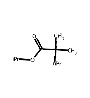 [CH2]CCC(C)(C)C(=O)OC(C)C